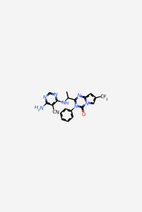 CC(Nc1ncnc(N)c1C#N)c1nc2cc(C(F)(F)F)cn2c(=O)n1-c1ccccc1